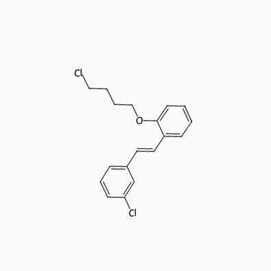 ClCCCCOc1ccccc1C=Cc1cccc(Cl)c1